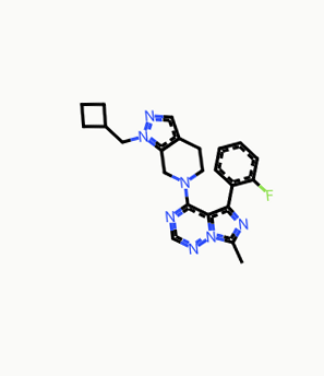 Cc1nc(-c2ccccc2F)c2c(N3CCc4cnn(CC5CCC5)c4C3)ncnn12